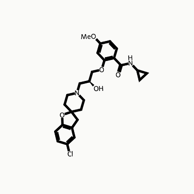 COc1ccc(C(=O)NC2CC2)c(OC[C@@H](O)CN2CCC3(CC2)Cc2cc(Cl)ccc2O3)c1